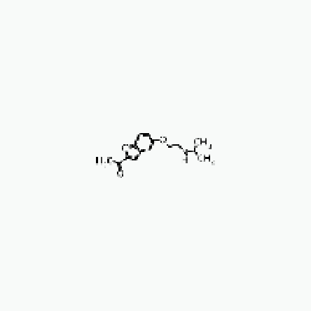 CC(=O)c1cc2cc(OCCNC(C)C)ccc2o1